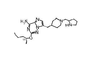 CCC[C@H](C)Oc1nc(N)c2ncc(CC3CCN(CC4CCCN4)CC3)n2n1